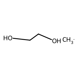 OCCO.[CH3]